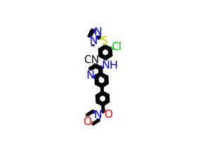 Cn1ccnc1Sc1ccc(Nc2c(C#N)cnc3cc(-c4ccc(C(=O)N5CCOCC5)cc4)ccc23)cc1Cl